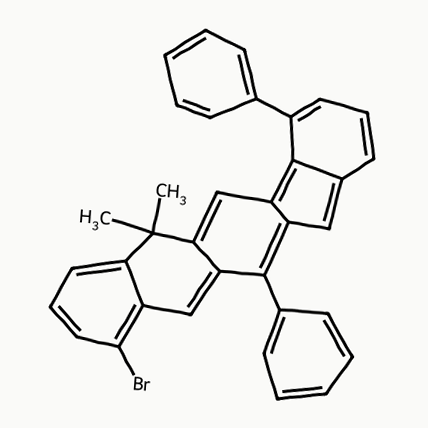 CC1(C)c2cccc(Br)c2C=c2c1cc1c(c2-c2ccccc2)C=c2cccc(-c3ccccc3)c2=1